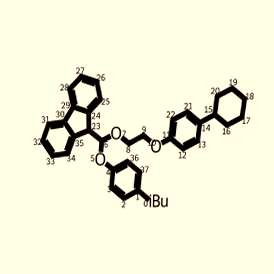 CCC(C)c1ccc(OC(OCCOc2ccc(C3CCCCC3)cc2)C2c3ccccc3-c3ccccc32)cc1